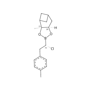 Cc1ccc(C[C@@H](Cl)B2O[C@@H]3CC4CC(C4)[C@]3(C)O2)cc1